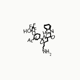 CC(=O)N1CCC[C@@H](C(=O)NC(CCCCN)C(=O)c2nc3ccccc3s2)C1.O=C(O)C(F)(F)F